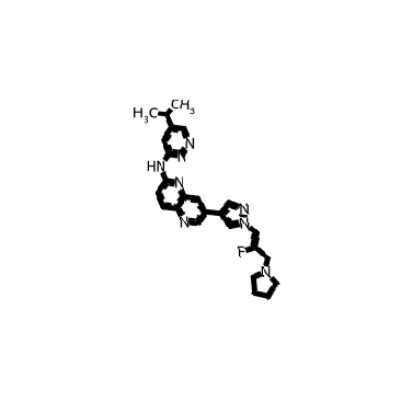 CC(C)c1cnnc(Nc2ccc3ncc(-c4cnn(C=C(F)CN5CCCC5)c4)cc3n2)c1